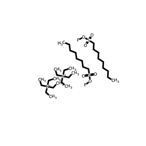 CCCCCCCCCS(=O)(=O)OF.CCCCCCCCS(=O)(=O)OF.CC[N+](CC)(CC)CC.CC[N+](CC)(CC)CC